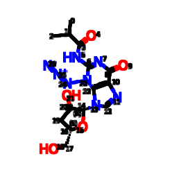 CC(C)C(=O)Nc1nc(=O)c2ncn([C@@H]3O[C@H](CO)C[C@H]3O)c2n1N=[N+]=[N-]